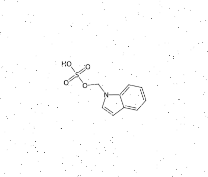 O=S(=O)(O)OCn1ccc2ccccc21